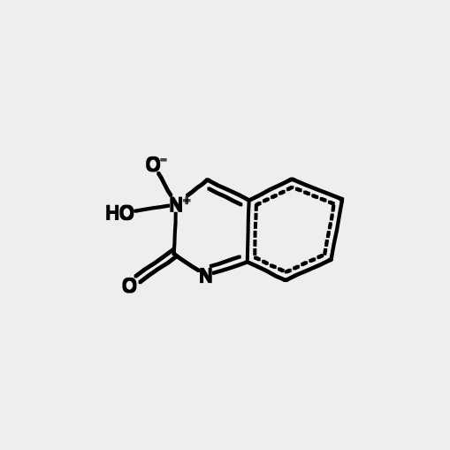 O=C1N=c2ccccc2=C[N+]1([O-])O